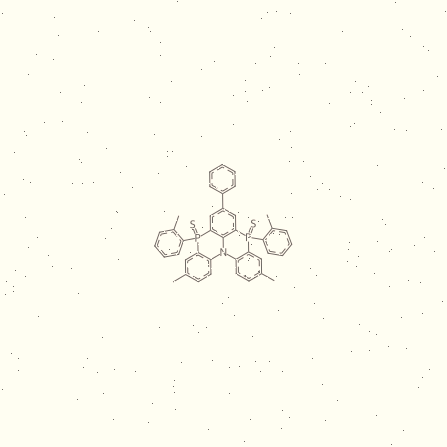 Cc1ccc2c(c1)P(=S)(c1ccccc1C)c1cc(-c3ccccc3)cc3c1N2c1ccc(C)cc1P3(=S)c1ccccc1C